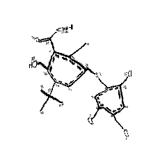 Cc1c(Sc2cc(Cl)c(Cl)cc2Cl)cc(C(C)(C)C)c(O)c1C(=O)O